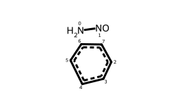 NN=O.c1ccccc1